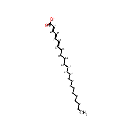 CCCCCCCCCCCCCCCCCC=CC=CC=CC(=O)O